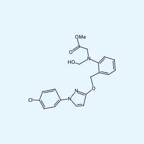 COC(=O)CN(CO)c1ccccc1COc1ccn(-c2ccc(Cl)cc2)n1